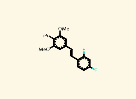 COc1cc(C=Cc2ccc(F)cc2F)cc(OC)c1C(C)C